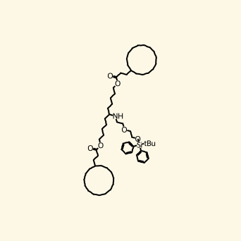 CC(C)(C)[Si](OCCOCCNC(CCCCCOC(=O)CCC1CCCCCCCCCCCCCC1)CCCCCOC(=O)CCC1CCCCCCCCCCCCCC1)(c1ccccc1)c1ccccc1